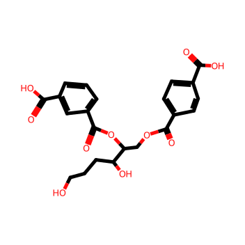 O=C(O)c1ccc(C(=O)OCC(OC(=O)c2cccc(C(=O)O)c2)C(O)CCCO)cc1